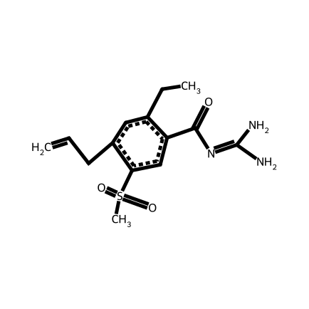 C=CCc1cc(CC)c(C(=O)N=C(N)N)cc1S(C)(=O)=O